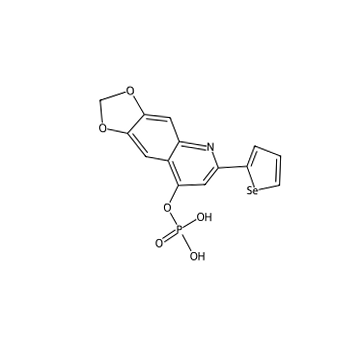 O=P(O)(O)Oc1cc(-c2ccc[se]2)nc2cc3c(cc12)OCO3